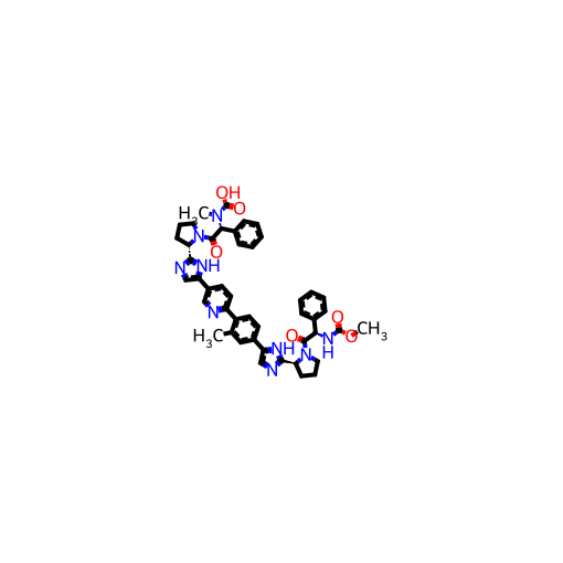 COC(=O)N[C@@H](C(=O)N1CCC[C@H]1c1ncc(-c2ccc(-c3ccc(-c4cnc([C@@H]5CCCN5C(=O)[C@@H](c5ccccc5)N(C)C(=O)O)[nH]4)cn3)c(C)c2)[nH]1)c1ccccc1